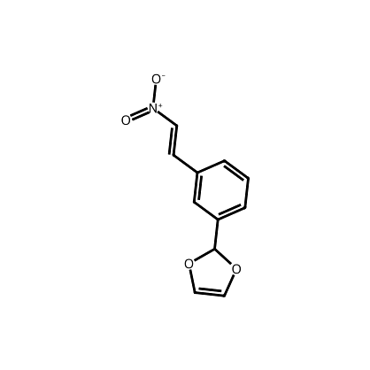 O=[N+]([O-])C=Cc1cccc(C2OC=CO2)c1